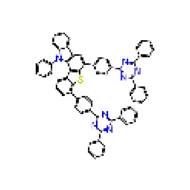 c1ccc(-c2nc(-c3ccccc3)nc(-c3ccc(-c4cccc5c4sc4c(-c6ccc(-c7nc(-c8ccccc8)nc(-c8ccccc8)n7)cc6)cc6c7ccccc7n(-c7ccccc7)c6c45)cc3)n2)cc1